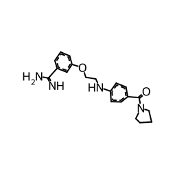 N=C(N)c1cccc(OCCNc2ccc(C(=O)N3CCCC3)cc2)c1